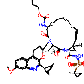 CCCCOC(=O)N[C@H]1CCCCC/C=C\[C@@H]2C[C@@]2(C(=O)NS(=O)(=O)C2(C)CC2)NC(=O)[C@@H]2C[C@]3(CCc4c(c(C5CC5)nc5cc(OC)ccc45)O3)CN2C1=O